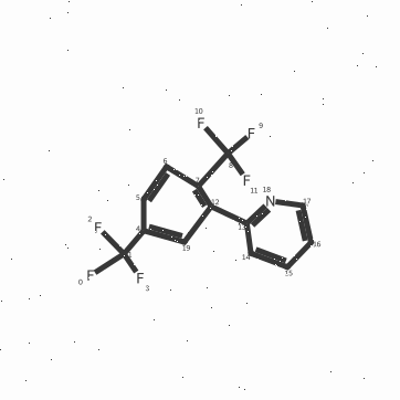 FC(F)(F)c1ccc(C(F)(F)F)c(-c2ccc[c]n2)c1